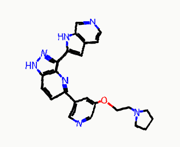 c1cc2cc(-c3n[nH]c4ccc(-c5cncc(OCCN6CCCC6)c5)nc34)[nH]c2cn1